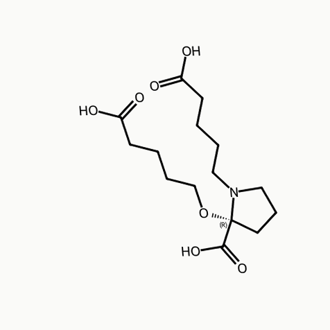 O=C(O)CCCCO[C@@]1(C(=O)O)CCCN1CCCCC(=O)O